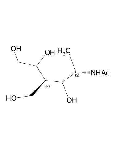 CC(=O)N[C@@H](C)C(O)[C@@H](CO)C(O)CO